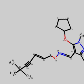 Cc1nn(C)c(OC2CCCC2)c1C=NOCC=CC#CC(C)(C)C